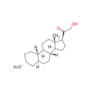 CC(=O)O[C@@H]1CC[C@H]2[C@@H](CC[C@@H]3[C@@H]2CC[C@]2(C)[C@@H](C(=O)CO)CC[C@@H]32)C1